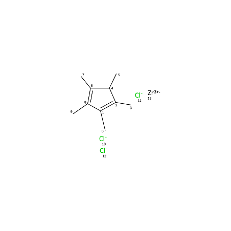 CC1=C(C)C(C)C(C)=C1C.[Cl-].[Cl-].[Cl-].[Zr+3]